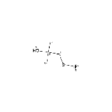 CC(C)SCC(C)(C)O